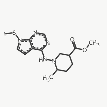 COC(=O)C1CCC(C)N(Nc2ncnc3c2ccn3SI)C1